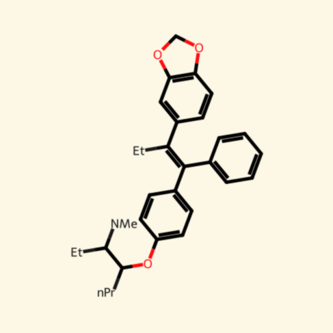 CCCC(Oc1ccc(C(=C(CC)c2ccc3c(c2)OCO3)c2ccccc2)cc1)C(CC)NC